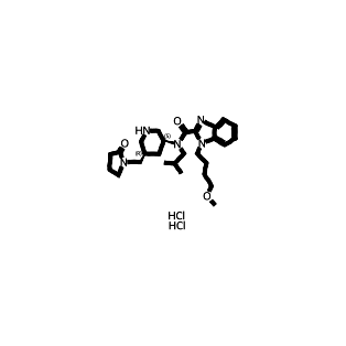 COCCCCn1c(C(=O)N(CC(C)C)[C@@H]2CNC[C@H](CN3CCCC3=O)C2)nc2ccccc21.Cl.Cl